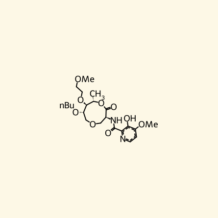 CCCCO[C@H]1COC[C@H](NC(=O)c2nccc(OC)c2O)C(=O)O[C@@H](C)[C@@H]1OCCOC